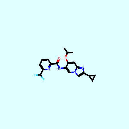 CC(C)Oc1cc2nc(C3CC3)cn2cc1NC(=O)c1cccc(C(F)F)n1